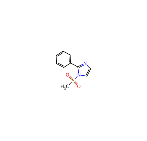 CS(=O)(=O)n1ccnc1-c1ccccc1